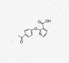 CC(=O)c1ccc(Oc2ncccc2C(=O)O)cc1